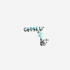 [F-].[F-].[F-].[F-].[F-].[F-].[F-].[GeH2+2].[Li+].[Rb+].[Sc+3]